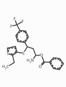 CCc1sccc1SC(CC(N)OC(=O)c1ccccc1)c1ccc(C(F)(F)F)cc1